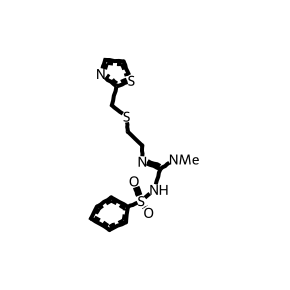 CNC(=NCCSCc1nccs1)NS(=O)(=O)c1ccccc1